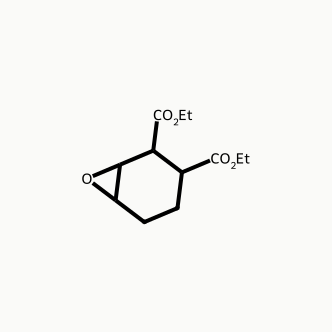 CCOC(=O)C1CCC2OC2C1C(=O)OCC